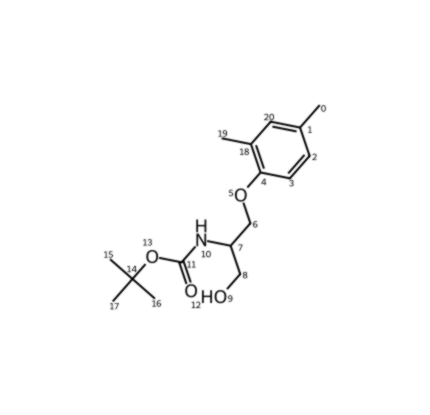 Cc1ccc(OCC(CO)NC(=O)OC(C)(C)C)c(C)c1